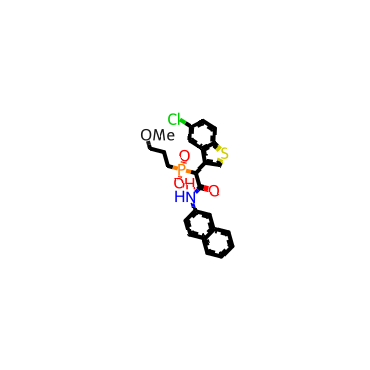 COCCCP(=O)(O)C(C(=O)Nc1ccc2ccccc2c1)c1csc2ccc(Cl)cc12